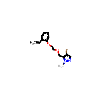 C=Cc1ccccc1OCCOCc1c(Br)cnn1C